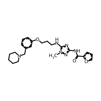 Cn1nc(NC(=O)c2ccco2)nc1NCCCOc1cccc(CN2CCCCC2)c1